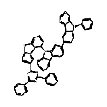 c1ccc(-c2nc(-c3ccccc3)nc(-c3ccc4oc5cccc(-n6c7ccccc7c7ccc(-c8ccc9c(c8)c8ccccc8n9-c8ccccc8)cc76)c5c4c3)n2)cc1